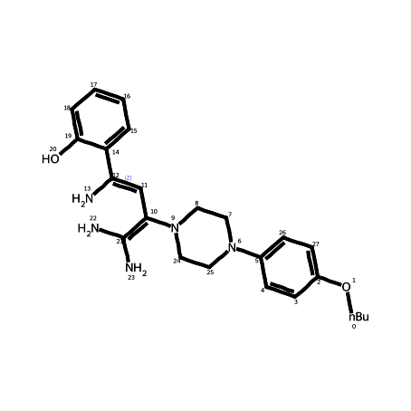 CCCCOc1ccc(N2CCN(C(/C=C(\N)c3ccccc3O)=C(N)N)CC2)cc1